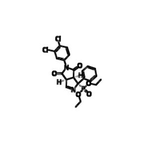 CCOP(=O)(OCC)[C@]1(c2ccccc2)N=C[C@H]2C(=O)N(c3ccc(Cl)c(Cl)c3)C(=O)[C@H]21